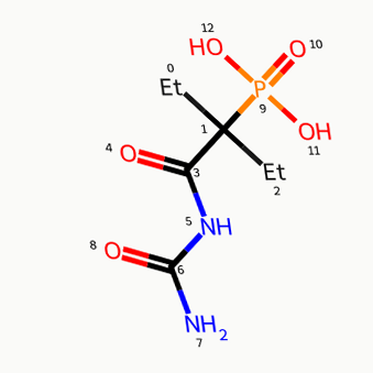 CCC(CC)(C(=O)NC(N)=O)P(=O)(O)O